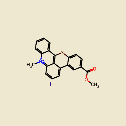 COC(=O)c1ccc2c(c1)-c1cccc3c1c(c1ccccc1[n+]3C)S2.[I-]